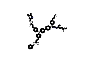 C=CC(=C)/C=C\C(=C)COC(=O)CCc1ccc(N(c2ccc(CCC(=O)OCc3ccccc3)cc2)c2ccc(C3=CC=C(N(/C=C/C=C(\C=C)CCC(=O)OC)c4ccc(CCC=O)cc4)CC3)cc2)cc1